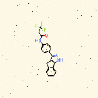 O=C(CC(F)(F)F)Nc1ccc(-c2n[nH]c3c2Cc2ccccc2-3)cc1